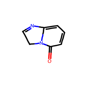 O=c1cccc2n1CC=N2